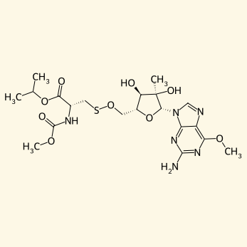 COC(=O)N[C@@H](CSOC[C@H]1O[C@@H](n2cnc3c(OC)nc(N)nc32)[C@](C)(O)[C@@H]1O)C(=O)OC(C)C